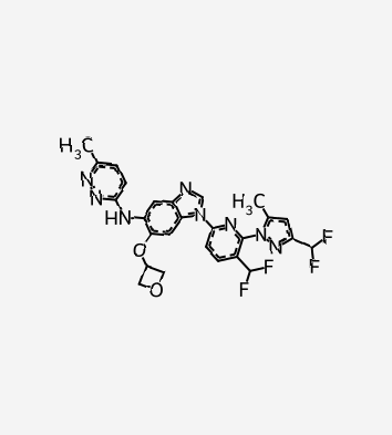 Cc1ccc(Nc2cc3ncn(-c4ccc(C(F)F)c(-n5nc(C(F)F)cc5C)n4)c3cc2OC2COC2)nn1